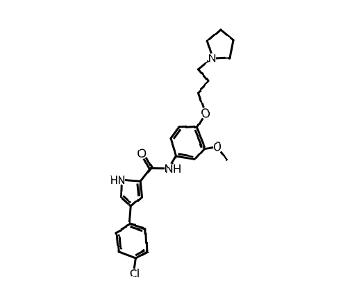 COc1cc(NC(=O)c2cc(-c3ccc(Cl)cc3)c[nH]2)ccc1OCCCN1CCCC1